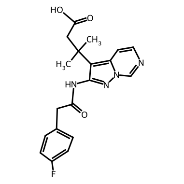 CC(C)(CC(=O)O)c1c(NC(=O)Cc2ccc(F)cc2)nn2cnccc12